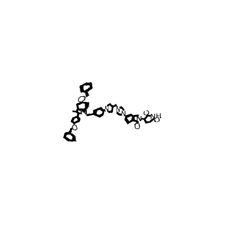 Cc1c(-c2ccc(OCc3ccccc3)cc2)n(Cc2ccc(N3CCC(CN4CCN(c5ccc6c(c5)CN(C5CCC(=O)NC5=O)C6=O)CC4)CC3)cc2)c2ccc(OCc3ccccc3)cc12